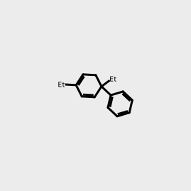 CCC1=CCC(CC)(c2ccccc2)C=C1